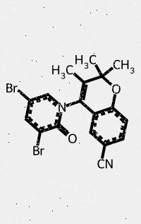 CC1=C(n2cc(Br)cc(Br)c2=O)c2cc(C#N)ccc2OC1(C)C